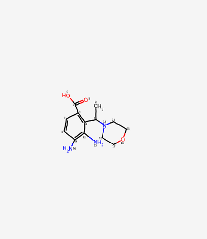 CC(c1c(C(=O)O)ccc(N)c1N)N1CCOCC1